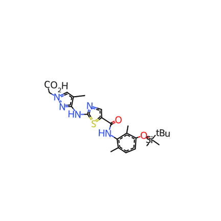 Cc1cn(CC(=O)O)nc1Nc1ncc(C(=O)Nc2c(C)ccc(O[Si](C)(C)C(C)(C)C)c2C)s1